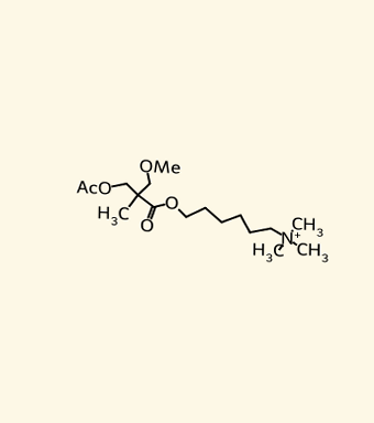 COCC(C)(COC(C)=O)C(=O)OCCCCCC[N+](C)(C)C